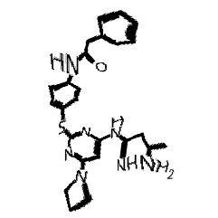 CC(N)CC(=N)Nc1cc(N2CCC2)nc(Sc2ccc(NC(=O)Cc3ccccc3)cc2)n1